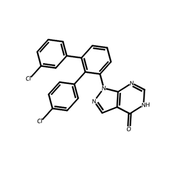 O=c1[nH]cnc2c1cnn2-c1cccc(-c2cccc(Cl)c2)c1-c1ccc(Cl)cc1